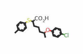 Cc1ccc(SC(CCCC(C)Oc2ccc(Cl)cc2)C(=O)O)cc1